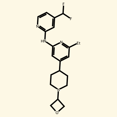 CCc1cc(C2CCN(C3COC3)CC2)cc(Nc2cc(C(F)F)ccn2)n1